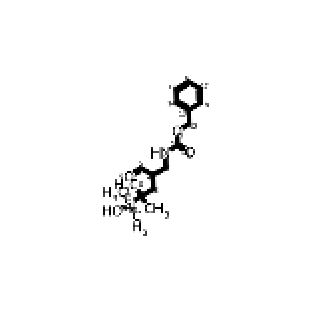 CC(C)(CC(C=O)CNC(=O)OCc1ccccc1)[Si](C)(C)O